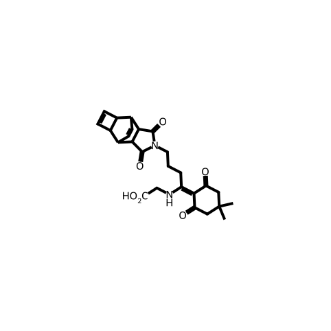 CC1(C)CC(=O)C(=C(CCCN2C(=O)C3C4C=CC(C5C=CC54)C3C2=O)NCC(=O)O)C(=O)C1